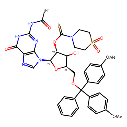 COc1ccc(C(OC[C@H]2O[C@@H](n3cnc4c(=O)[nH]c(NC(=O)C(C)C)nc43)[C@@H](OC(=S)N3CCS(=O)(=O)CC3)C2O)(c2ccccc2)c2ccc(OC)cc2)cc1